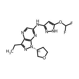 CCc1nn([C@@H]2CCOC2)c2nc(Nc3cc(OC(F)F)[nH]n3)cnc12